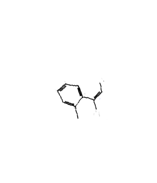 Cc1ccccc1/C(N)=C\C#N